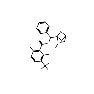 CN1CC2CC1(C(NC(=O)c1c(Cl)ccc(C(F)(F)F)c1Cl)c1ccccc1)C2